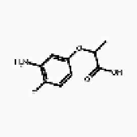 CC(Oc1ccc(F)c(N)c1)C(=O)O